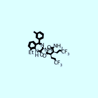 CCc1cccc2c1NC(=O)[C@@H](NC(=O)[C@H](CCC(F)(F)F)[C@H](CCC(F)(F)F)C(N)=O)N=C2c1cccc(C)c1